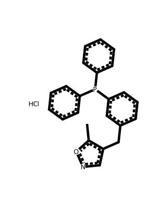 Cc1oncc1Cc1cccc(P(c2ccccc2)c2ccccc2)c1.Cl